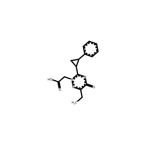 CCc1nn(CC(=O)O)c(C2CC2c2ccccc2)nc1=O